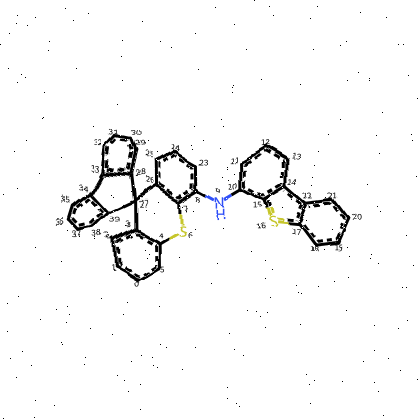 c1ccc2c(c1)Sc1c(Nc3cccc4c3sc3ccccc34)cccc1C21c2ccccc2-c2ccccc21